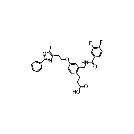 Cc1oc(-c2ccccc2)nc1CCOc1ccc(CCC(=O)O)c(CNC(=O)c2ccc(F)c(F)c2)c1